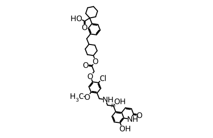 COc1cc(OCC(=O)OC2CCC(Cc3cccc(C4(C(=O)O)CCCCC4)c3)CC2)c(Cl)cc1CNC[C@H](O)c1ccc(O)c2[nH]c(=O)ccc12